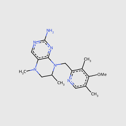 COc1c(C)cnc(CN2c3nc(N)ncc3N(C)CC2C)c1C